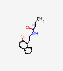 C/C=C/C(=O)NCCc1c(O)ccc2ccccc12